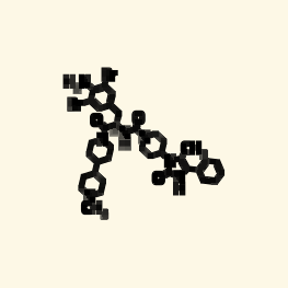 Cc1c(-c2ccccc2)[nH]c(=O)n1C1CCN(C(=O)N[C@H](Cc2cc(Br)c(N)c(Br)c2)C(=O)N2CCC(C3CCN(C)CC3)CC2)CC1